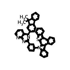 CC1(C)c2ccccc2-c2ccc(-c3nc(-c4cccc(-n5c6ccccc6c6c7ccccc7c7c8ccccc8sc7c65)c4)nc4ncccc34)cc21